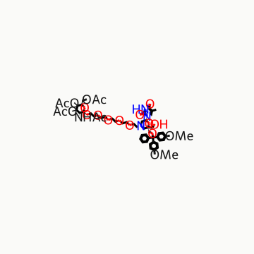 COc1ccc(C(OC[C@]2(CO)CN(CCOCCOCCOCCOCCO[C@@H]3O[C@H](COC(C)=O)[C@H](OC(C)=O)[C@H](OC(C)=O)[C@H]3NC(C)=O)C[C@H](n3cc(C)c(=O)[nH]c3=O)O2)(c2ccccc2)c2ccc(OC)cc2)cc1